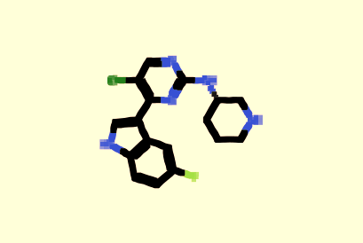 Fc1ccc2[nH]cc(-c3nc(N[C@H]4CCCNC4)ncc3Cl)c2c1